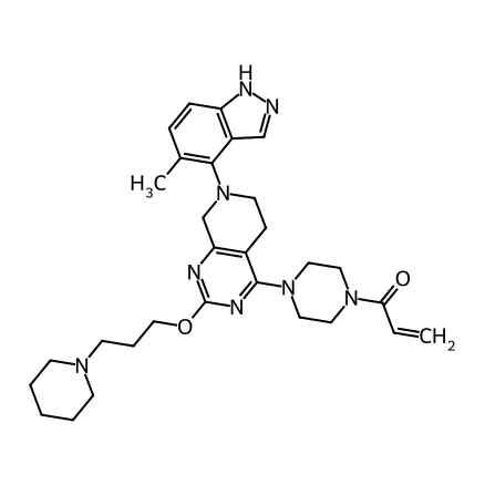 C=CC(=O)N1CCN(c2nc(OCCCN3CCCCC3)nc3c2CCN(c2c(C)ccc4[nH]ncc24)C3)CC1